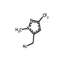 CC(=O)Cc1cc(C(F)(F)F)nn1C